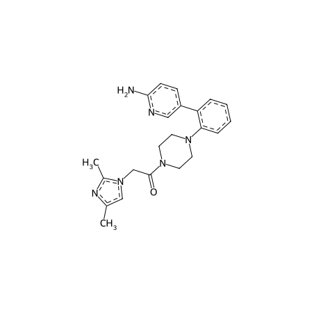 Cc1cn(CC(=O)N2CCN(c3ccccc3-c3ccc(N)nc3)CC2)c(C)n1